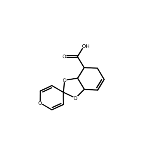 O=C(O)C1CC=CC2OC3(C=COC=C3)OC21